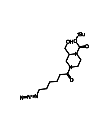 CC(C)(C)OC(=O)N1CCN(C(=O)CCCCCN=[N+]=[N-])CC1CO